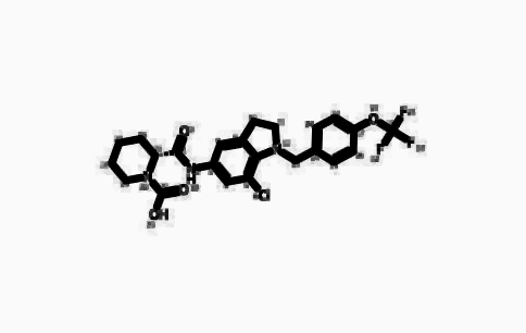 O=C(Nc1cc(Cl)c2c(c1)CCN2Cc1ccc(OC(F)(F)F)cc1)[C@H]1CCCCN1C(=O)O